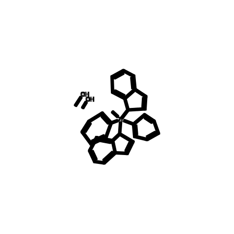 CO.CO.[CH3][Zr]([c]1ccccc1)([c]1ccccc1)([CH]1C=Cc2ccccc21)[CH]1C=Cc2ccccc21